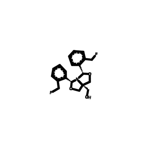 OC[C@]12CO[C@H](c3ccccc3CF)N1[C@H](c1ccccc1CF)OC2